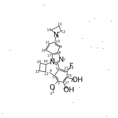 COc1c(C)c(-c2nc3cc(N4CCC4)ccc3n2C2CCC2)c(F)c(O)c1O